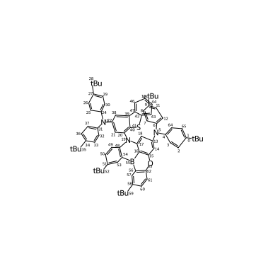 CC(C)(C)c1ccc(N(c2ccc(C(C)(C)C)cc2)c2cc3c4c(c2)N(c2cc(N(c5ccc(C(C)(C)C)cc5)c5ccc(C(C)(C)C)cc5)cc5c2sc2ccccc25)c2ccc(C(C)(C)C)cc2B4c2cc(C(C)(C)C)ccc2O3)cc1